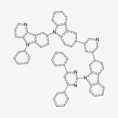 c1ccc(-c2cc(-c3ccccc3)nc(-n3c4ccccc4c4ccc(-c5cncc(-c6ccc7c(c6)c6ccccc6n7-c6ccc7c(c6)c6ncccc6n7-c6ccccc6)c5)cc43)n2)cc1